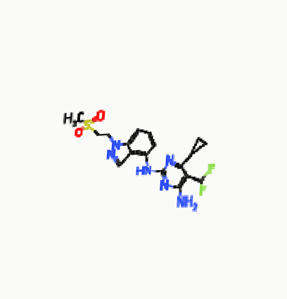 CS(=O)(=O)CCn1ncc2c(Nc3nc(N)c(C(F)F)c(C4CC4)n3)cccc21